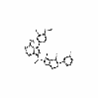 Cc1c(C(C)n2nc(-c3ccc(OC(C)C)c(F)c3)c3c(N)ncnc32)sc2ncc(-c3cccc(F)c3)c(=O)n12